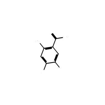 COC(=O)c1cc(F)c(C(F)(F)F)cc1N